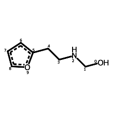 OCNCCc1ccco1